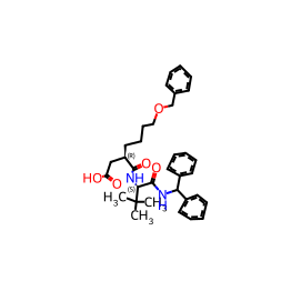 CC(C)(C)[C@H](NC(=O)[C@H](CCCCOCc1ccccc1)CC(=O)O)C(=O)NC(c1ccccc1)c1ccccc1